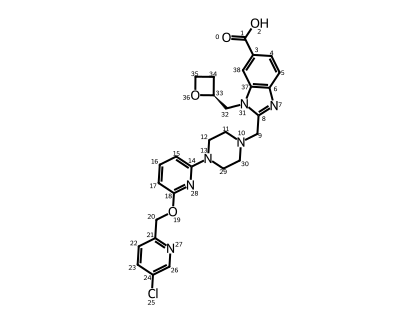 O=C(O)c1ccc2nc(CN3CCN(c4cccc(OCc5ccc(Cl)cn5)n4)CC3)n(C[C@@H]3CCO3)c2c1